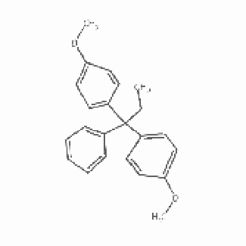 CCC(c1ccccc1)(c1ccc(OC)cc1)c1ccc(OC)cc1